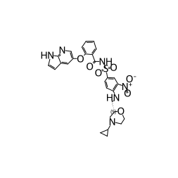 O=C(NS(=O)(=O)c1ccc(NC[C@H]2CN(C3CC3)CCO2)c([N+](=O)[O-])c1)c1ccccc1Oc1cnc2[nH]ccc2c1